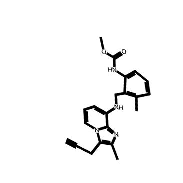 C#CCc1c(C)nc2c(NCc3c(C)cccc3NC(=O)OC)cccn12